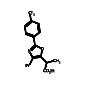 CCOC(=O)C(C)c1oc(-c2ccc(C(F)(F)F)cc2)nc1C(C)C